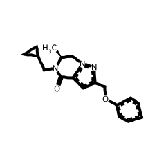 C[C@H]1Cn2nc(COc3ccccc3)cc2C(=O)N1CC1CC1